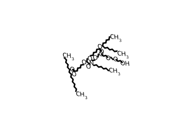 CCCCCCCCC(CCCCCCCC)OC(=O)CCCCCOC(COCCCCCC(=O)OC(CCCCCC)CCCCCCC)C(=O)N(CCCCCCCC)CCOCCOCCOCCOCCO